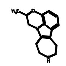 CC1Cn2c3c(c4cccc(c42)O1)CCNCC3